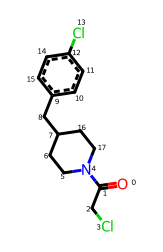 O=C(CCl)N1CCC(Cc2ccc(Cl)cc2)CC1